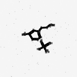 CCCCCCCCCCCC[n+]1cccc(CCC)c1.O=S(=O)([O-])C(F)(F)F